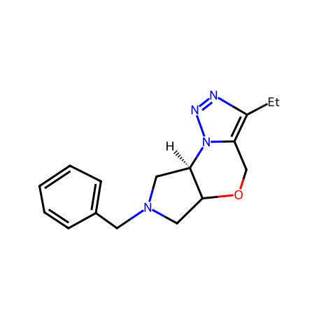 CCc1nnn2c1COC1CN(Cc3ccccc3)C[C@H]12